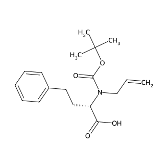 C=CCN(C(=O)OC(C)(C)C)[C@@H](CCc1ccccc1)C(=O)O